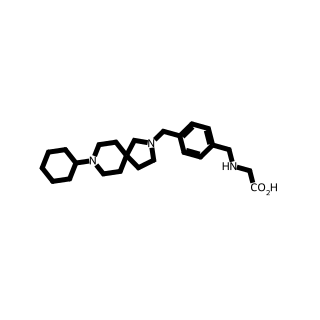 O=C(O)CNCc1ccc(CN2CCC3(CCN(C4CCCCC4)CC3)C2)cc1